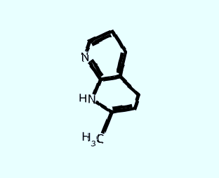 CC1=CCc2cccnc2N1